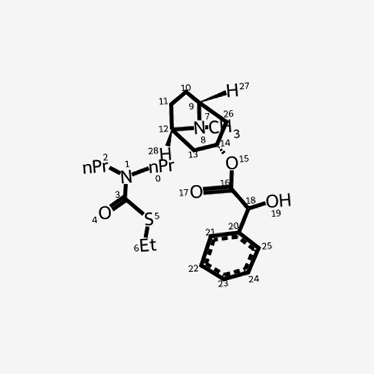 CCCN(CCC)C(=O)SCC.CN1[C@@H]2CC[C@H]1C[C@@H](OC(=O)C(O)c1ccccc1)C2